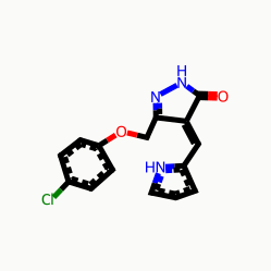 O=C1NN=C(COc2ccc(Cl)cc2)/C1=C\c1ccc[nH]1